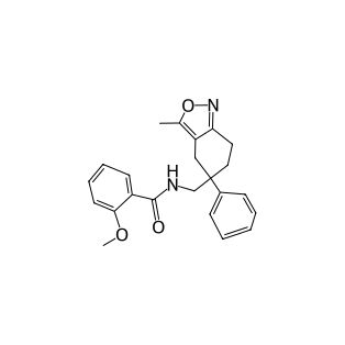 COc1ccccc1C(=O)NCC1(c2ccccc2)CCc2noc(C)c2C1